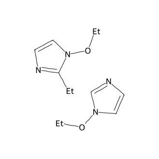 CCOn1ccnc1.CCOn1ccnc1CC